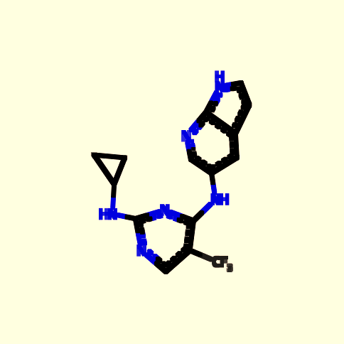 FC(F)(F)c1cnc(NC2CC2)nc1Nc1cnc2[nH]ccc2c1